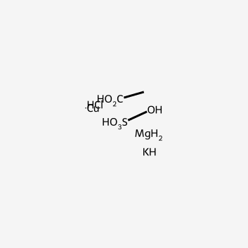 CC(=O)O.Cl.O=S(=O)(O)O.[Cu].[KH].[MgH2]